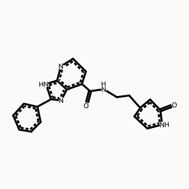 O=C(NCCc1cc[nH]c(=O)c1)c1ccnc2[nH]c(-c3ccccc3)nc12